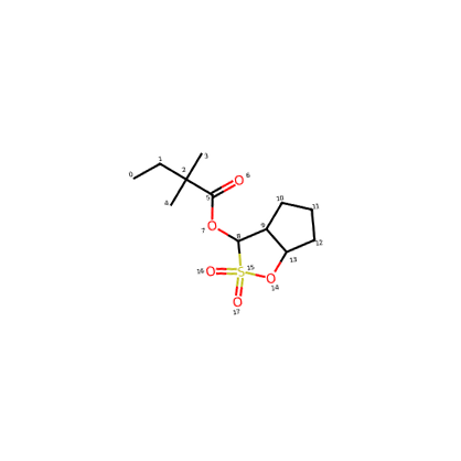 CCC(C)(C)C(=O)OC1C2CCCC2OS1(=O)=O